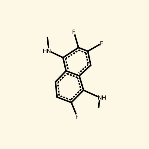 CNc1c(F)ccc2c(NC)c(F)c(F)cc12